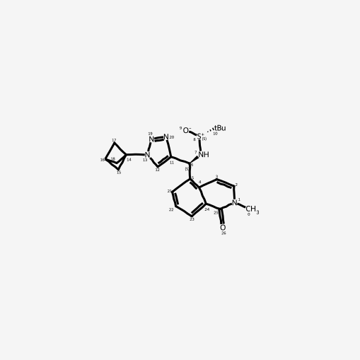 Cn1ccc2c([C@H](N[S@+]([O-])C(C)(C)C)c3cn(C45CC(C4)C5)nn3)cccc2c1=O